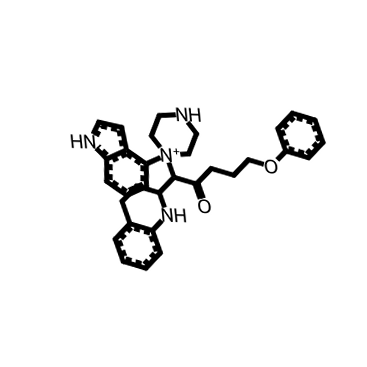 O=C(CCCOc1ccccc1)C(C1CCc2ccccc2N1)[N+]1(c2cccc3[nH]ccc23)CCNCC1